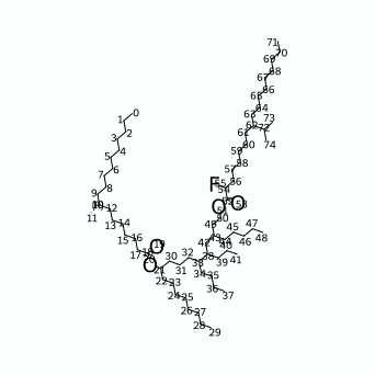 CCCCCCCCCC[C@@H](C)CCCCCCC(=O)OC(CCCCCCCC)CCCC(CCCC)C(CCC)CC(CCCCC)CCOC(=O)C(F)CCCCCCC(CCCCCCCCC)C(C)C